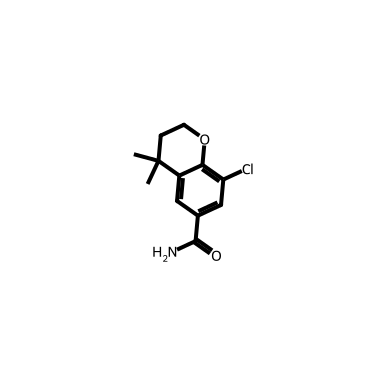 CC1(C)CCOc2c(Cl)cc(C(N)=O)cc21